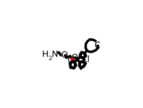 NCCOCCC(=O)OC(c1ccccc1)(c1ccc(C2CCCCCCCCCCC2)cc1)c1ccccc1Cl